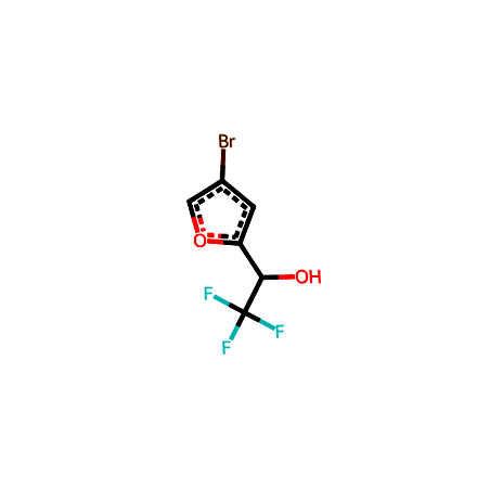 OC(c1cc(Br)co1)C(F)(F)F